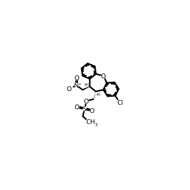 CCS(=O)(=O)OC[C@H]1c2cc(Cl)ccc2Oc2ccccc2[C@@H]1C[N+](=O)[O-]